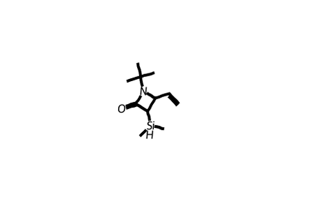 C=CC1C([SiH](C)C)C(=O)N1C(C)(C)C